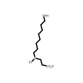 CCCCCCCCCCCCCCCCCCN(CC)CCC(=O)O